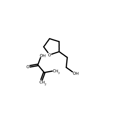 C=C(C)C(=O)O.OCCC1CCCO1